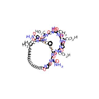 CC1CCCCCCCCCCCCCCCC(=O)N2CCC[C@H]2C(=O)N[C@@H](CCC(N)=O)C(=O)N[C@H]2CSCc3ccccc3CSC[C@H](NC(=O)[C@H](CCC(=O)O)NC(=O)CNC(=O)[C@H]([C@@H](C)O)NC(=O)[C@H](CCC(=O)O)NC(=O)[C@@H]3CCCN3C(=O)[C@H](CC(=O)O)NC2=O)C(=O)N[C@H](C(=O)C2CCC[C@H]2C(N)=O)CC1C